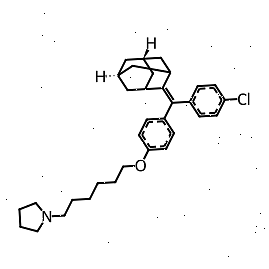 Clc1ccc(C(=C2C3C[C@H]4CC2C[C@@H](C3)C4)c2ccc(OCCCCCCN3CCCC3)cc2)cc1